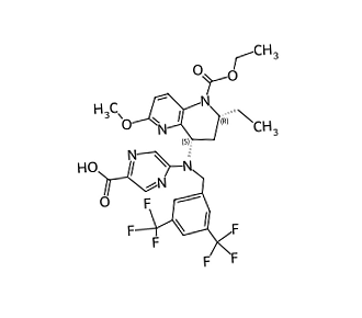 CCOC(=O)N1c2ccc(OC)nc2[C@@H](N(Cc2cc(C(F)(F)F)cc(C(F)(F)F)c2)c2cnc(C(=O)O)cn2)C[C@H]1CC